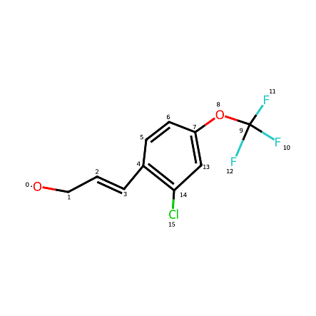 [O]CC=Cc1ccc(OC(F)(F)F)cc1Cl